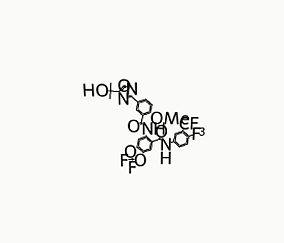 COc1ccc(-c2noc(C(C)(C)O)n2)cc1C(=O)Nc1cc2c(cc1C(=O)Nc1ccc(F)c(C(F)(F)F)c1)OC(F)(F)O2